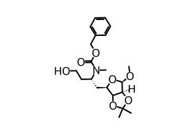 CO[C@@H]1O[C@H](C[C@H](CCO)N(C)C(=O)OCc2ccccc2)C2OC(C)(C)O[C@@H]21